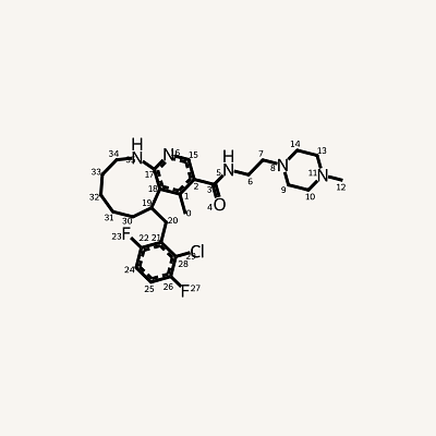 Cc1c(C(=O)NCCN2CCN(C)CC2)cnc2c1C(Cc1c(F)ccc(F)c1Cl)CCCCCN2